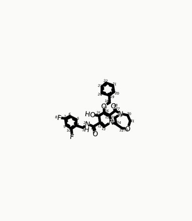 O=C(NCc1ccc(F)cc1F)C1=CN2C(=C(OCc3ccccc3)C1O)C(=O)N1CCOCC2C1